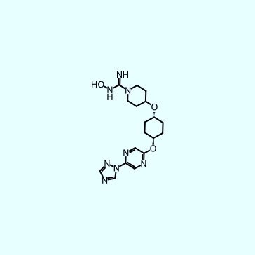 N=C(NO)N1CCC(O[C@H]2CC[C@H](Oc3cnc(-n4cncn4)cn3)CC2)CC1